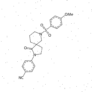 COc1ccc(S(=O)(=O)N2CCCC3(CCN(c4ccc(C#N)cc4)C3=O)C2)cc1